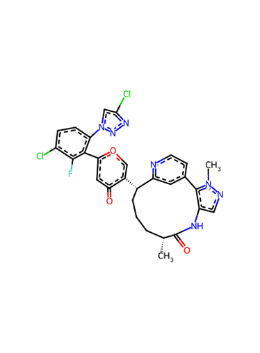 C[C@@H]1CCC[C@H](c2coc(-c3c(-n4cc(Cl)nn4)ccc(Cl)c3F)cc2=O)c2cc(ccn2)-c2c(cnn2C)NC1=O